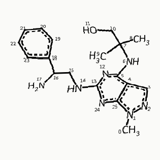 Cn1ncc2c(NC(C)(C)CO)nc(NCC(N)c3ccccc3)nc21